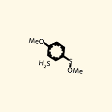 COSc1ccc(OC)cc1.S